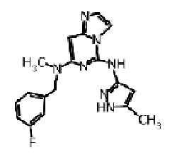 Cc1cc(Nc2nc(N(C)Cc3cccc(F)c3)cc3nccn23)n[nH]1